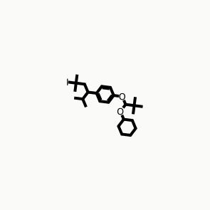 CC(C)C(CC(C)(C)I)c1ccc(OC(OC2CCCCC2)C(C)(C)C)cc1